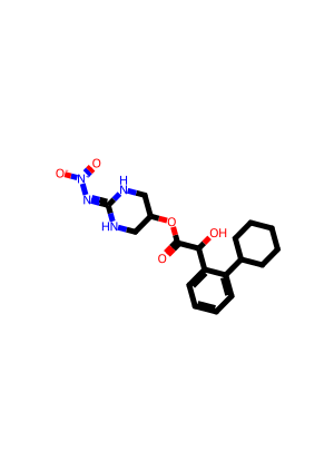 O=C(OC1CNC(=N[N+](=O)[O-])NC1)C(O)c1ccccc1C1CCCCC1